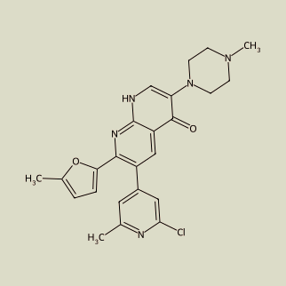 Cc1cc(-c2cc3c(=O)c(N4CCN(C)CC4)c[nH]c3nc2-c2ccc(C)o2)cc(Cl)n1